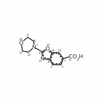 O=C(O)c1ccc2nc(N3CCOCC3)oc2c1